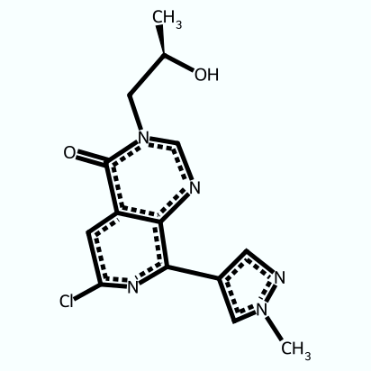 C[C@@H](O)Cn1cnc2c(-c3cnn(C)c3)nc(Cl)cc2c1=O